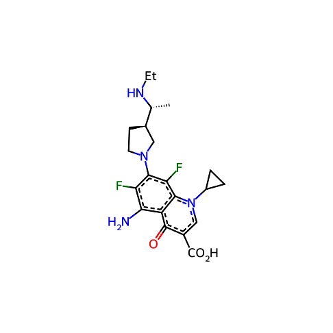 CCN[C@H](C)[C@@H]1CCN(c2c(F)c(N)c3c(=O)c(C(=O)O)cn(C4CC4)c3c2F)C1